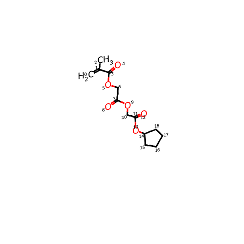 C=C(C)C(=O)OCC(=O)OCC(=O)OC1CCCC1